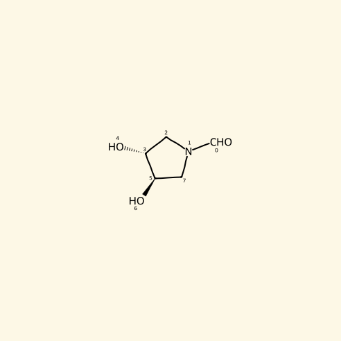 O=CN1C[C@@H](O)[C@H](O)C1